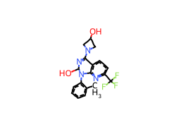 Cc1ccccc1N1c2nc(C(F)(F)F)ccc2C(N2CC(O)C2)=NC1O